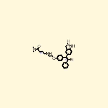 CC/C(=C(/c1ccc(OCCNC/C=C/C(=O)N(C)C)cc1)c1ccc2c(c1)CNN2)c1ccccc1